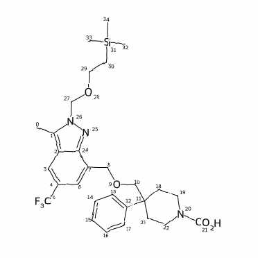 Cc1c2cc(C(F)(F)F)cc(COCC3(c4ccccc4)CCN(C(=O)O)CC3)c2nn1COCC[Si](C)(C)C